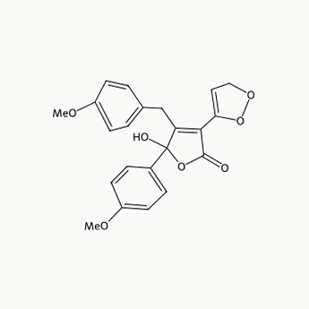 COc1ccc(CC2=C(C3=CCOO3)C(=O)OC2(O)c2ccc(OC)cc2)cc1